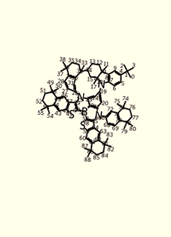 CC(C)(C)c1ccc2c(c1)C1(C)CCC3CC1(C)N2c1cc2c4c(c1)N(c1ccc5c(c1)C3(C)CCC5(C)C)c1c(sc3cc5c(cc13)C(C)(C)CCC5(C)C)B4c1sc3cc4c(cc3c1N2c1ccc2c(c1)C(C)(C)CCC2(C)C)C(C)(C)CCC4(C)C